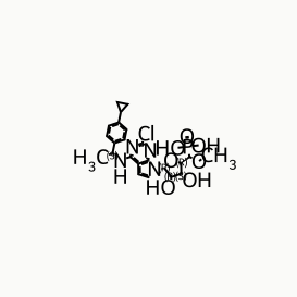 COC([C@@H]1O[C@@H](n2ccc3c(N[C@@H](C)c4ccc(C5CC5)cc4)nc(Cl)nc32)[C@H](O)[C@@H]1O)P(=O)(O)O